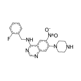 O=[N+]([O-])c1cc2c(NCc3ccccc3F)ncnc2cc1N1CCNCC1